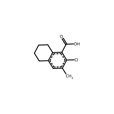 Cc1cc2c(c(C(=O)O)c1Cl)CCCC2